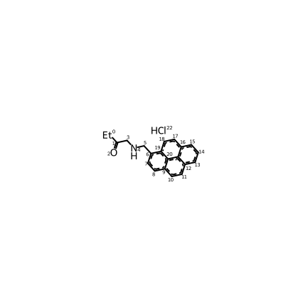 CCC(=O)CNCc1ccc2ccc3cccc4ccc1c2c34.Cl